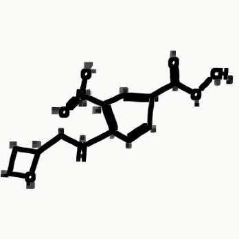 COC(=O)c1ccc(NCC2CCO2)c([N+](=O)[O-])c1